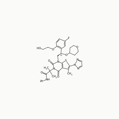 Cc1c(-n2nccn2)sc2c1c(=O)n(C(C)(C)C(=O)NC(C)C)c(=O)n2C[C@H](OC1CCOCC1)c1cc(F)ccc1OCCO